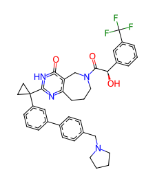 O=C([C@H](O)c1cccc(C(F)(F)F)c1)N1CCCc2nc(C3(c4cccc(-c5ccc(CN6CCCC6)cc5)c4)CC3)[nH]c(=O)c2C1